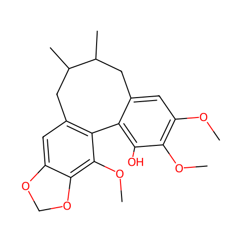 COc1cc2c(c(O)c1OC)-c1c(cc3c(c1OC)OCO3)CC(C)C(C)C2